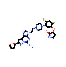 Nc1nc2c(ncn2CCN2CCN(c3cc(O[C@H]4CCNC4=O)c(F)cc3F)CC2)c2cc(-c3ccco3)nn12